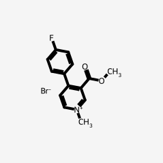 COC(=O)c1c[n+](C)ccc1-c1ccc(F)cc1.[Br-]